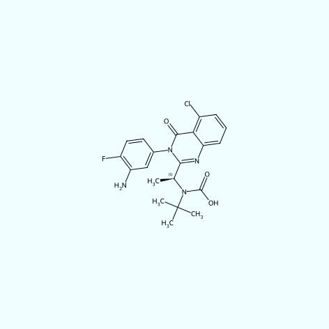 C[C@@H](c1nc2cccc(Cl)c2c(=O)n1-c1ccc(F)c(N)c1)N(C(=O)O)C(C)(C)C